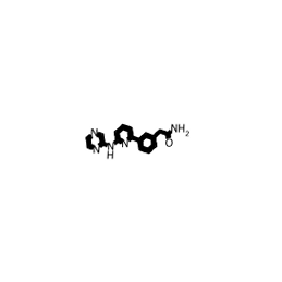 NC(=O)Cc1cccc(-c2cccc(Nc3cnccn3)n2)c1